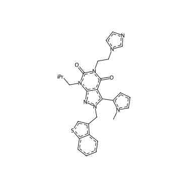 CC(C)Cn1c(=O)n(CCn2ccnc2)c(=O)c2c(-c3cccn3C)n(Cc3csc4ccccc34)nc21